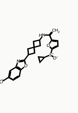 C=C(NC1CC2(C1)CC(c1nc3cc(Cl)ccc3o1)C2)c1ccc([S+]([O-])C2CC2)o1